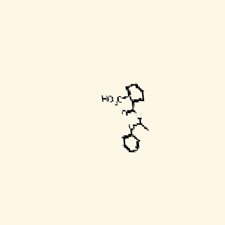 CC(OC(=O)c1ccccc1C(=O)O)Oc1ccccc1